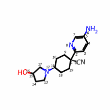 N#C[C@]1(c2ccc(N)cn2)CC[C@H](N2CCC(O)C2)CC1